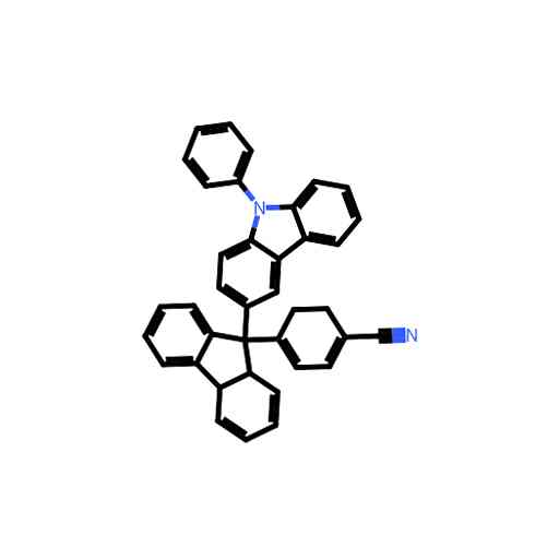 N#CC1=CC=C(C2(c3ccc4c(c3)c3ccccc3n4-c3ccccc3)c3ccccc3C3C=CC=CC32)CC1